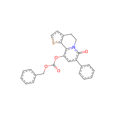 O=C(OCc1ccccc1)Oc1cc(-c2ccccc2)c(=O)n2c1-c1sccc1CC2